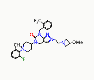 COC1CN(CCn2cc3c(n2)N(Cc2ccccc2C(F)(F)F)C(=O)N(C2CCN(c4c(C)cccc4F)CC2)C3)C1